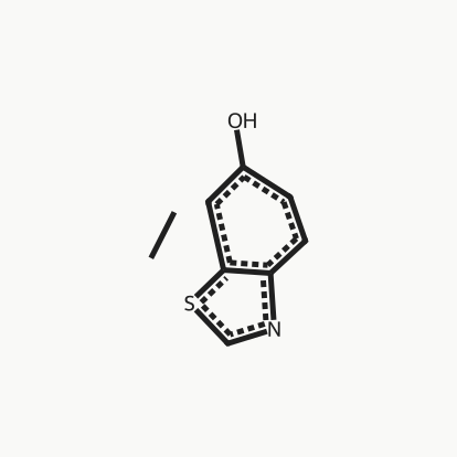 CC.Oc1ccc2ncsc2c1